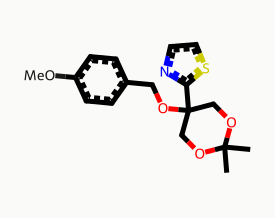 COc1ccc(COC2(c3nccs3)COC(C)(C)OC2)cc1